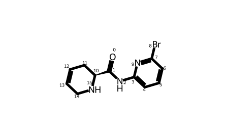 O=C(Nc1cccc(Br)n1)[C@@H]1CC=CCN1